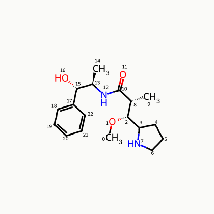 CO[C@@H](C1CCCN1)[C@@H](C)C(=O)N[C@H](C)[C@@H](O)c1ccccc1